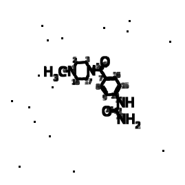 CN1CCN(C(=O)c2ccc(NC(N)=O)cc2)CC1